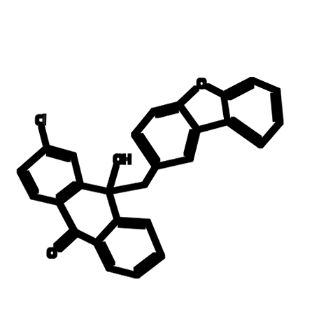 O=C1c2ccccc2C(O)(Cc2ccc3oc4ccccc4c3c2)c2cc(Cl)ccc21